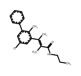 CCCNC(=O)/C(C)=C(\C)c1cc(Cl)cc(-c2ccccc2)c1C